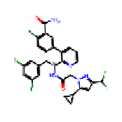 NC(=O)c1cc(-c2cccnc2[C@H](Cc2cc(F)cc(F)c2)NC(=O)Cn2nc(C(F)F)cc2C2CC2)ccc1F